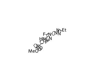 CCc1cnc(N2CCC(n3cc(F)c4c(Nc5ccc(C(=O)N6CCCC[C@@H]6C(=O)OC)cc5F)ncnc43)CC2)nc1